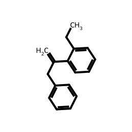 C=C(Cc1ccccc1)c1ccccc1CC